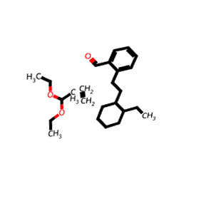 C=C.CCC1CCCCC1CCc1ccccc1C=O.CCOC(C)OCC